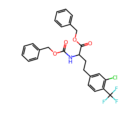 O=C(NC(CCc1ccc(C(F)(F)F)c(Cl)c1)C(=O)OCc1ccccc1)OCc1ccccc1